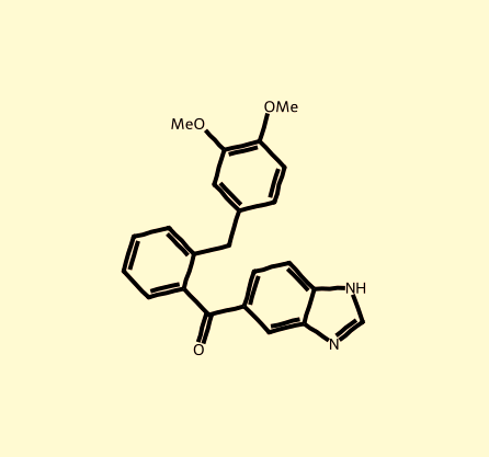 COc1ccc(Cc2ccccc2C(=O)c2ccc3[nH]cnc3c2)cc1OC